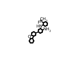 CN(F)c1ccccc1Nc1cc(-c2ccc3oc4ccccc4c3c2)ccc1N